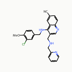 COc1ccc(CNc2c(CNCc3ccccn3)cnc3ccc(C#N)cc23)cc1Cl